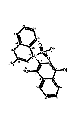 O=S(=O)(O)[N@+]1(c2cc(O)c3ccccc3c2O)C=C(O)Cc2ccccc21